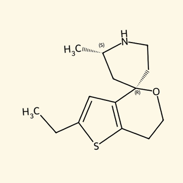 CCc1cc2c(s1)CCO[C@@]21CCN[C@@H](C)C1